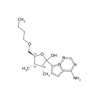 CCCCOC[C@H]1OC(O)(c2ccc3c(N)ncnn23)[C@H](C)[C@@H]1C